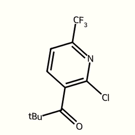 CC(C)(C)C(=O)c1ccc(C(F)(F)F)nc1Cl